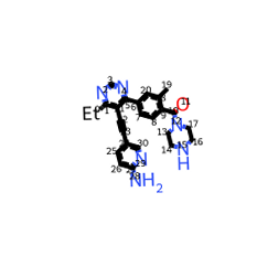 CCc1ncnc(-c2ccc(C(=O)N3CCNCC3)c(C)c2)c1C#Cc1ccc(N)nc1